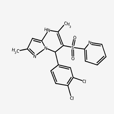 CC1=C(S(=O)(=O)c2ccccn2)C(c2ccc(Cl)c(Cl)c2)n2nc(C)cc2N1